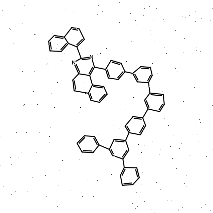 c1ccc(-c2cc(-c3ccccc3)cc(-c3ccc(-c4cccc(-c5cccc(-c6ccc(-c7nc(-c8cccc9ccccc89)nc8ccc9ccccc9c78)cc6)c5)c4)cc3)c2)cc1